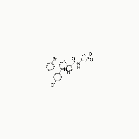 O=C(NC1CCS(=O)(=O)C1)c1cnn2c(-c3ccc(Cl)cc3)c(-c3ccccc3Br)cnc12